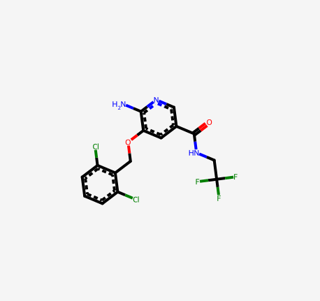 Nc1ncc(C(=O)NCC(F)(F)F)cc1OCc1c(Cl)cccc1Cl